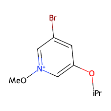 CO[n+]1cc(Br)cc(OC(C)C)c1